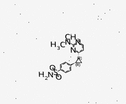 CN(C)c1nccc([C@@H]2C[C@H]2c2ccc(S(N)(=O)=O)cc2)n1